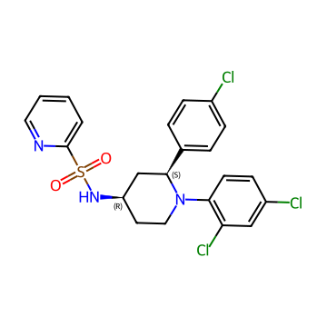 O=S(=O)(N[C@@H]1CCN(c2ccc(Cl)cc2Cl)[C@H](c2ccc(Cl)cc2)C1)c1ccccn1